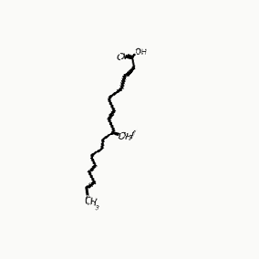 CCCCCCCCC(O)CCCC/C=C/C(=O)O